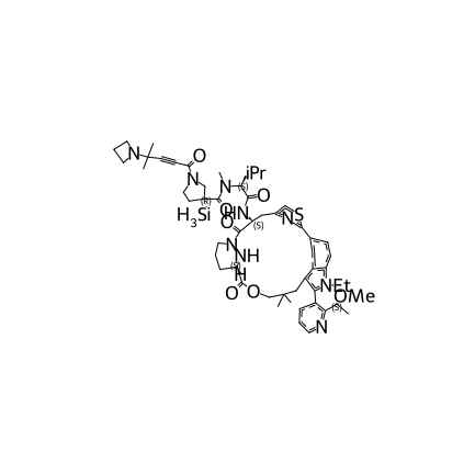 CCn1c(-c2cccnc2[C@H](C)OC)c2c3cc(ccc31)-c1nc(cs1)C[C@H](NC(=O)[C@H](C(C)C)N(C)C(=O)[C@@]1([SiH3])CCN(C(=O)C#CC(C)(C)N3CCC3)C1)C(=O)N1CCC[C@H](N1)C(=O)OCC(C)(C)C2